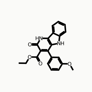 CCOC(=O)c1c(-c2cccc(OC)c2)c2[nH]c3ccccc3c2[nH]c1=O